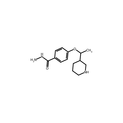 CC(Oc1ccc(C(=O)NN)cc1)C1CCCNC1